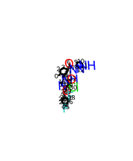 Cc1ccc(C(=O)Nc2cc[nH]n2)cc1-n1cnc(OCc2ccc(F)cc2F)c(Cl)c1=O